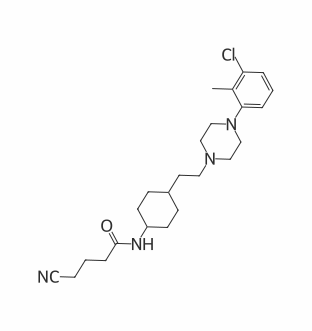 Cc1c(Cl)cccc1N1CCN(CCC2CCC(NC(=O)CCCC#N)CC2)CC1